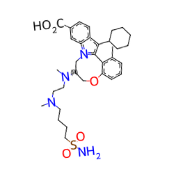 Cc1cccc2c1-c1c(C3CCCCC3)c3ccc(C(=O)O)cc3n1C[C@@H](N(C)CCN(C)CCCCS(N)(=O)=O)CO2